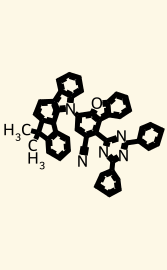 CC1(C)c2ccccc2-c2c1ccc1c3ccccc3n(-c3cc(C#N)c(-c4nc(-c5ccccc5)nc(-c5ccccc5)n4)c4c3oc3ccccc34)c21